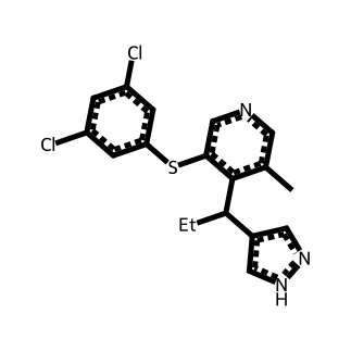 CCC(c1cn[nH]c1)c1c(C)cncc1Sc1cc(Cl)cc(Cl)c1